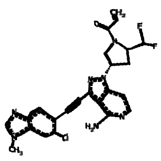 C=CC(=O)N1C[C@@H](n2nc(C#Cc3cc4ncn(C)c4cc3Cl)c3c(N)nccc32)C[C@@H]1C(F)F